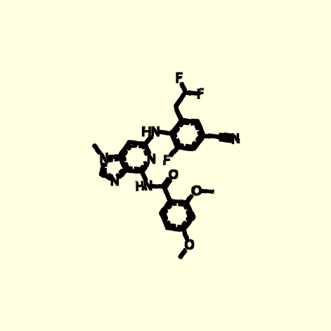 COc1ccc(C(=O)Nc2nc(Nc3c(F)cc(C#N)cc3CC(F)F)cc3c2ncn3C)c(OC)c1